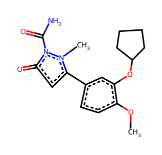 COc1ccc(-c2cc(=O)n(C(N)=O)n2C)cc1OC1CCCC1